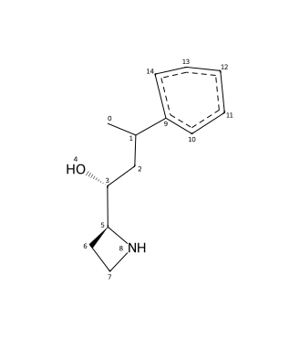 CC(C[C@@H](O)[C@@H]1CCN1)c1ccccc1